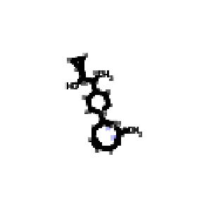 CC1=C/CC#CC/C(N2CCC(C(C)C(O)=C3CC3)CC2)=N\1